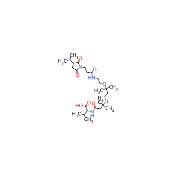 CC(C)C1CC(=O)N(CCC(=O)NCCOC(C)(C)CCOC(C)(C)CC(=O)NC(C(=O)O)C(C)C)C1=O